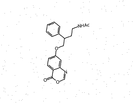 CC(=O)NCCC(COc1ccc2c(=O)ocnc2c1)c1ccccc1